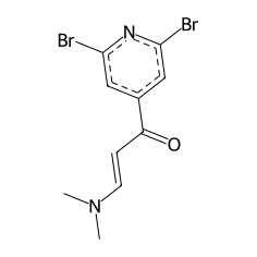 CN(C)C=CC(=O)c1cc(Br)nc(Br)c1